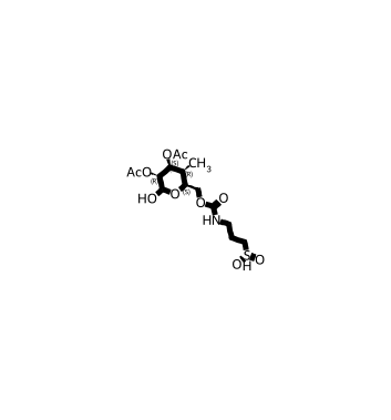 CC(=O)O[C@H]1[C@H](C)[C@@H](COC(=O)NCCC[SH](=O)=O)OC(O)[C@@H]1OC(C)=O